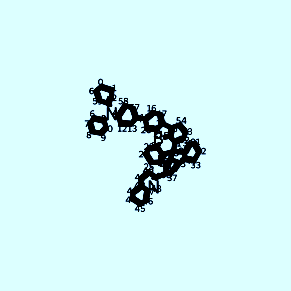 c1ccc(N(c2ccccc2)c2ccc(-c3ccc4c(c3)B3c5ccccc5C5(c6ccccc6-c6ccc(-c7ccc8ccccc8n7)cc65)c5cccc-4c53)cc2)cc1